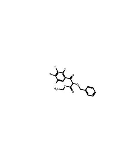 CCOC(=O)C(OCc1ccccc1)C(=O)c1cc(F)c(F)c(F)c1F